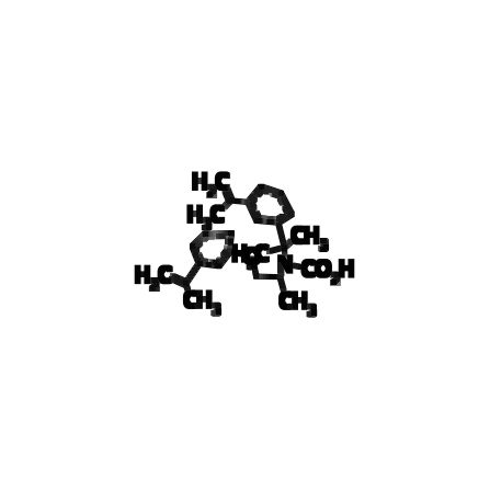 C=C(C)c1cccc(OCC(C)N(C(=O)O)C(C)(C)c2cccc(C(=C)C)c2)c1